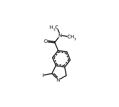 CN(C)C(=O)c1ccc2c(c1)C(I)=NC2